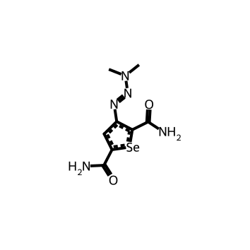 CN(C)N=Nc1cc(C(N)=O)[se]c1C(N)=O